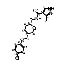 Cc1n[nH]cc1C(=O)NC[C@H]1CC[C@@H](COc2ccc(Cl)cc2)CO1